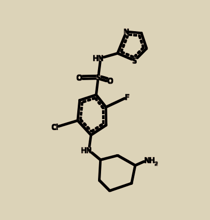 NC1CCCC(Nc2cc(F)c(S(=O)(=O)Nc3nccs3)cc2Cl)C1